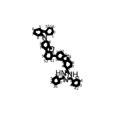 C1=Cc2c(c3ccccc3n2-c2ccc3c(c2)oc2c(-c4ccc5sc6ccc(C7NC(c8ccccc8)=NC(c8ccccc8)N7)cc6c5c4)cccc23)CC1